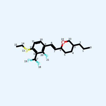 CCCC1CCC(/C=C/c2ccc(SCC)c(C(F)F)c2F)OC1